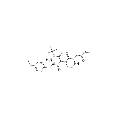 COC(=O)CC1NCCN(C(C(=O)OC(C)(C)C)C(=O)[C@@H](N)Cc2ccc(OC)cc2)C1=O